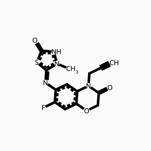 C#CCN1C(=O)COc2cc(F)c(N=c3sc(=O)[nH]n3C)cc21